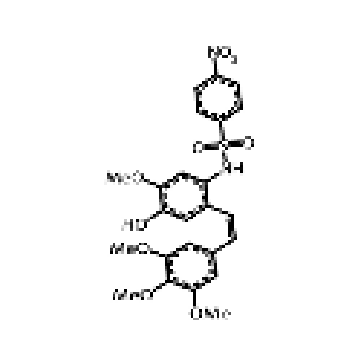 COc1cc(NS(=O)(=O)c2ccc([N+](=O)[O-])cc2)c(/C=C\c2cc(OC)c(OC)c(OC)c2)cc1O